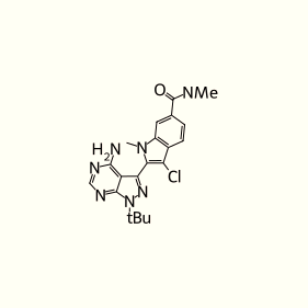 CNC(=O)c1ccc2c(Cl)c(-c3nn(C(C)(C)C)c4ncnc(N)c34)n(C)c2c1